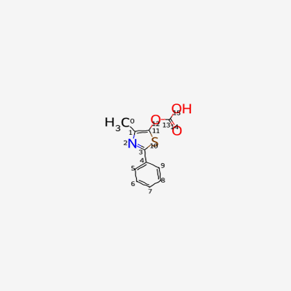 Cc1nc(-c2ccccc2)sc1OC(=O)O